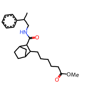 COC(=O)CCCCCC1C2CCC(C2)C1C(=O)NCC(C)c1ccccc1